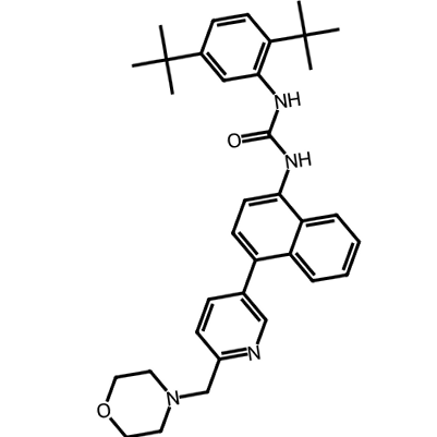 CC(C)(C)c1ccc(C(C)(C)C)c(NC(=O)Nc2ccc(-c3ccc(CN4CCOCC4)nc3)c3ccccc23)c1